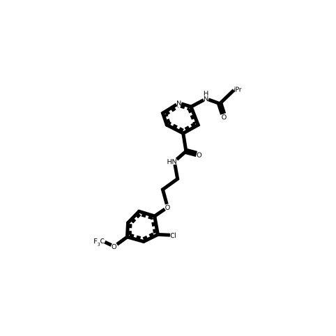 CC(C)C(=O)Nc1cc(C(=O)NCCOc2ccc(OC(F)(F)F)cc2Cl)ccn1